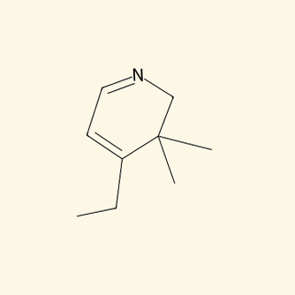 CCC1=CC=NCC1(C)C